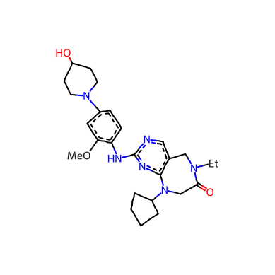 CCN1Cc2cnc(Nc3ccc(N4CCC(O)CC4)cc3OC)nc2N(C2CCCC2)CC1=O